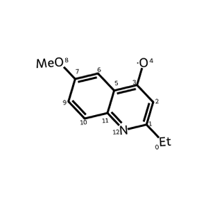 CCc1cc([O])c2cc(OC)ccc2n1